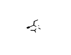 CCC(C#N)P(C)(=O)C(C)O